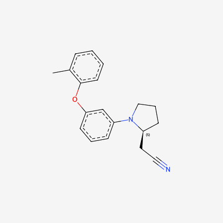 Cc1ccccc1Oc1cccc(N2CCC[C@H]2CC#N)c1